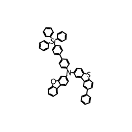 c1ccc(-c2ccc3sc4ccc(N(c5ccc(-c6ccc([Si](c7ccccc7)(c7ccccc7)c7ccccc7)cc6)cc5)c5ccc6c(c5)oc5ccccc56)cc4c3c2)cc1